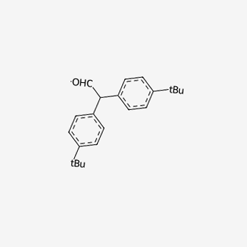 CC(C)(C)c1ccc(C([C]=O)c2ccc(C(C)(C)C)cc2)cc1